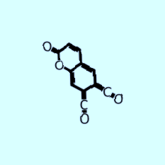 O=C=c1cc2ccc(=O)oc2cc1=C=O